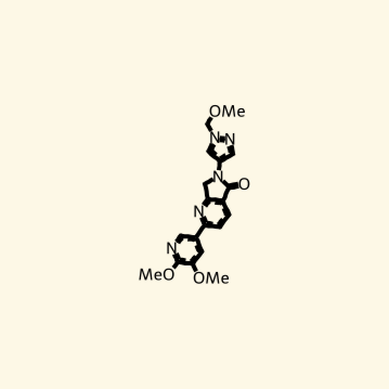 COCn1cc(N2Cc3nc(-c4cnc(OC)c(OC)c4)ccc3C2=O)cn1